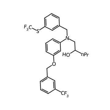 CCCC(O)CN(Cc1cccc(SC(F)(F)F)c1)c1cccc(OCc2cccc(C(F)(F)F)c2)c1